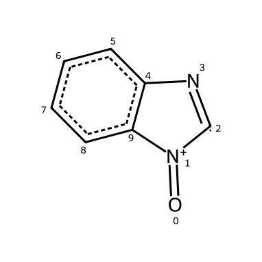 O=[N+]1[C]=Nc2ccccc21